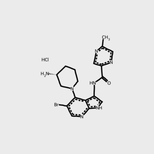 Cc1cnc(C(=O)Nc2c[nH]c3ncc(Br)c(N4CCC[C@@H](N)C4)c23)cn1.Cl